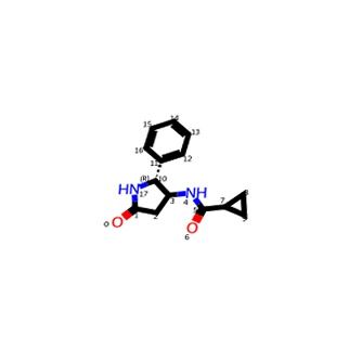 O=C1CC(NC(=O)C2CC2)[C@@H](c2ccccc2)N1